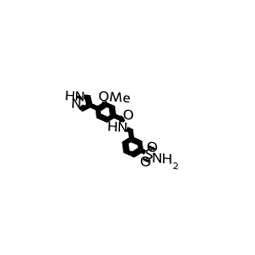 COc1cc(C(=O)NCc2cccc(S(N)(=O)=O)c2)ccc1-c1cn[nH]c1